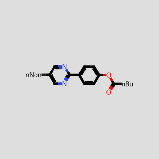 CCCCCCCCCc1cnc(-c2ccc(OC(=O)CCCC)cc2)nc1